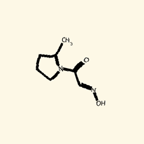 CC1CCCN1C(=O)/C=N/O